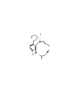 CON=C1/C=C/CC/C=C/CC(C)OC(=O)c2c(O)cc(O)c(C3CCCCO3)c2C1